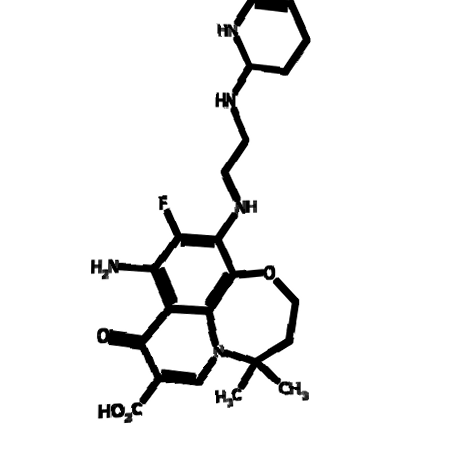 CC1(C)CCOc2c(NCCNC3CCC=CN3)c(F)c(N)c3c(=O)c(C(=O)O)cn1c23